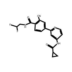 N#Cc1cc(-c2cc(NC(=O)C3CC3)ccn2)ccc1C(=O)NCC(F)F